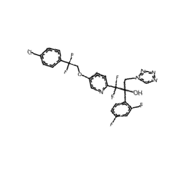 OC(Cn1cnnn1)(c1ccc(F)cc1F)C(F)(F)c1ccc(OCC(F)(F)c2ccc(Cl)cc2)cn1